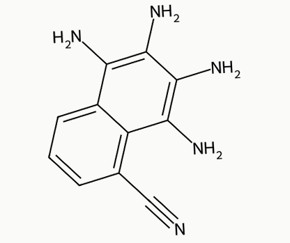 N#Cc1cccc2c(N)c(N)c(N)c(N)c12